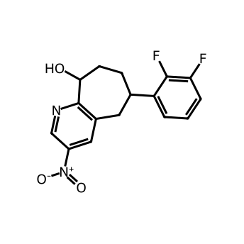 O=[N+]([O-])c1cnc2c(c1)CC(c1cccc(F)c1F)CCC2O